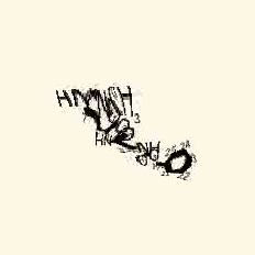 COC(=O)[C@H](Cc1c[nH]cn1)NC(=O)CNC(=O)OCc1ccccc1